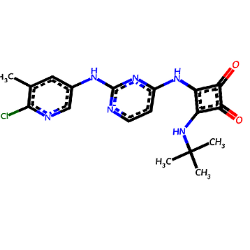 Cc1cc(Nc2nccc(Nc3c(NC(C)(C)C)c(=O)c3=O)n2)cnc1Cl